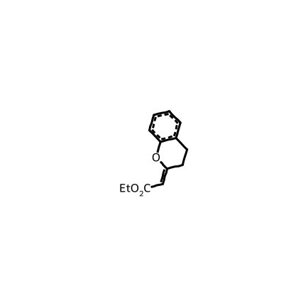 CCOC(=O)C=C1CCc2ccccc2O1